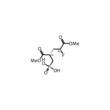 COC(=O)[C@H](C[C@H](F)C(=O)OC)CP(=O)(O)O